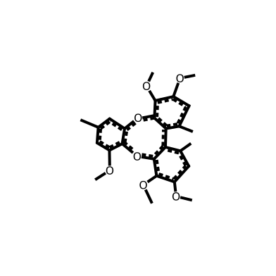 COc1cc(C)c2c(oc3cc(C)cc(OC)c3oc3c(OC)c(OC)cc(C)c32)c1OC